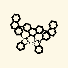 c1ccc(N2B(c3c(B4Oc5ccccc5N4c4ccccc4)c4cc(-c5cccc6ccccc56)ccc4c4ccc(-c5cccc6ccccc56)cc34)Oc3ccccc32)cc1